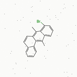 Cc1c2ccc3ccccc3c2c(C)c2cccc(Br)c12